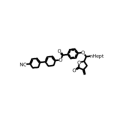 C=C1CC(C(CCCCCCC)Oc2ccc(C(=O)OC3=CC=C(C4=CC=C(C#N)CC4)CC3)cc2)OC1=O